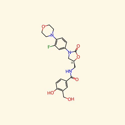 O=C(NC[C@H]1CN(c2ccc(N3CCOCC3)c(F)c2)C(=O)O1)c1ccc(O)c(CO)c1